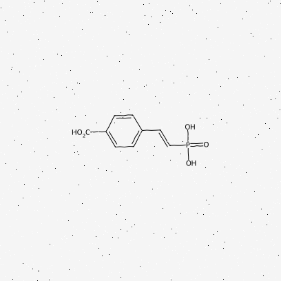 O=C(O)c1ccc(/C=C/P(=O)(O)O)cc1